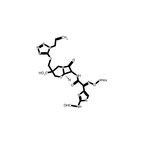 C=CCn1nnnc1SCC1(C(=O)O)CS[C@@H]2C(NC(=O)C(=NOCCCCCC)c3csc(NC=O)n3)C(=O)N2C1